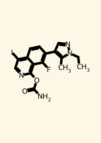 CCn1ncc(-c2ccc3c(I)cnc(OC(N)=O)c3c2F)c1C